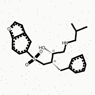 CC(C)CNC[C@@H](O)[C@H](Cc1ccccc1)CS(=O)(=O)c1ccc2occc2c1